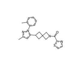 Cc1cc(C2CC3(C2)CN(C(=O)c2nccs2)C3)n(-c2ccccc2C)n1